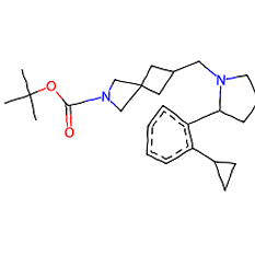 CC(C)(C)OC(=O)N1CC2(CC(CN3CCCC3c3ccccc3C3CC3)C2)C1